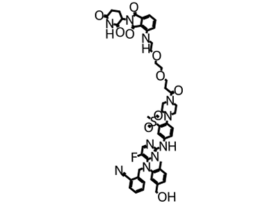 Cc1ccc(CO)cc1N(Cc1ccccc1C#N)c1nc(Nc2ccc(N3CCN(C(=O)CCOCCOCCNc4cccc5c4C(=O)N(C4CCC(=O)NC4=O)C5=O)CC3)c(S(C)(=O)=O)c2)ncc1F